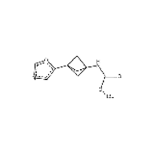 CC(C)(C)OC(=O)NC12CC(c3cnco3)(C1)C2